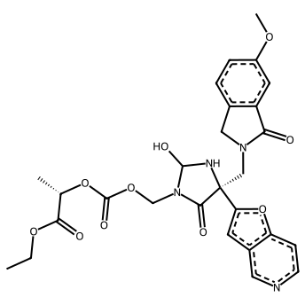 CCOC(=O)[C@H](C)OC(=O)OCN1C(=O)[C@](CN2Cc3ccc(OC)cc3C2=O)(c2cc3cnccc3o2)NC1O